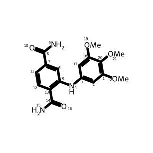 COc1cc(Nc2cc(C(N)=O)ccc2C(N)=O)cc(OC)c1OC